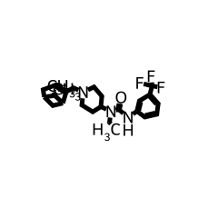 CCN(C(=O)Nc1cccc(C(F)(F)F)c1)C1CCN(CC2=CCC3CC2C3(C)C)CC1